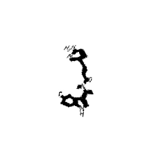 CC(c1c[nH]c2ccc(F)cc12)N(C)C(=O)C=Cc1ccc(N)nc1